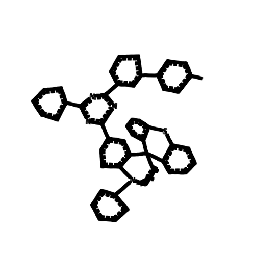 Cc1ccc(-c2cccc(-c3nc(-c4ccccc4)nc(-c4ccc5c(c4)C4(c6ccccc6Sc6ccccc64)c4ccccc4N5c4ccccc4)n3)c2)cc1